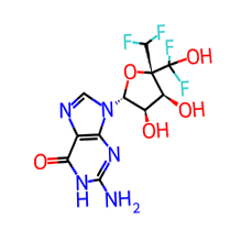 Nc1nc2c(ncn2[C@@H]2O[C@](C(F)F)(C(O)(F)F)[C@@H](O)[C@H]2O)c(=O)[nH]1